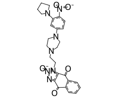 O=C1c2ccccc2C(=O)c2c1n[n+]([O-])n2CCN1CCN(c2ccc([N+](=O)[O-])c(N3CCCC3)c2)CC1